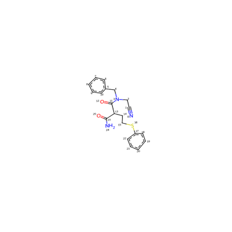 N#CCN(Cc1ccccc1)C(=O)C(CCSc1ccccc1)C(N)=O